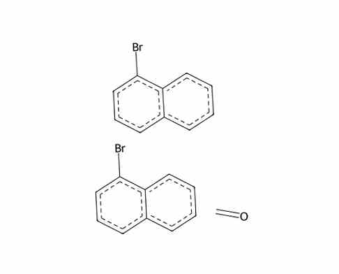 Brc1cccc2ccccc12.Brc1cccc2ccccc12.C=O